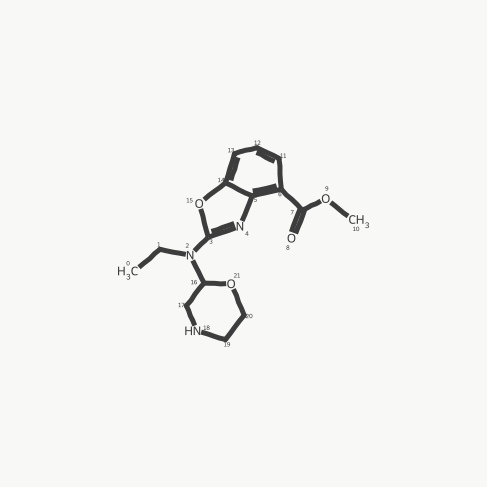 CCN(c1nc2c(C(=O)OC)cccc2o1)C1CNCCO1